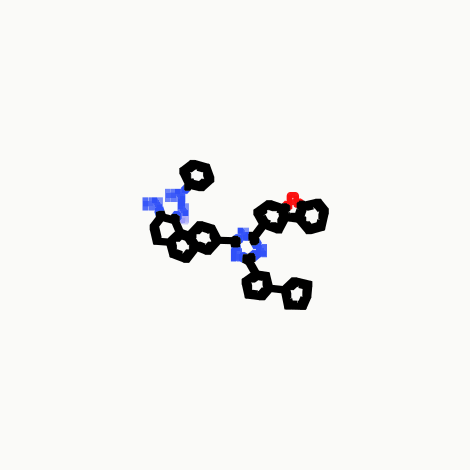 N=C1C=Cc2ccc3cc(-c4nc(-c5cccc(-c6ccccc6)c5)nc(-c5ccc6oc7ccccc7c6c5)n4)ccc3c2/C1=N/Nc1ccccc1